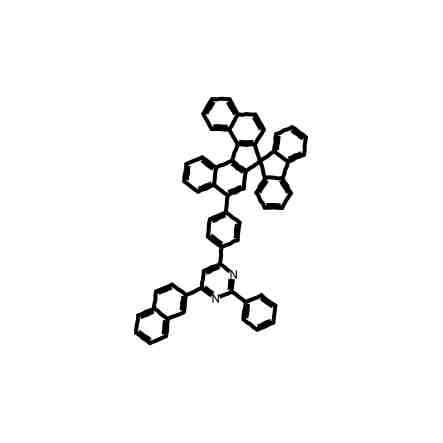 c1ccc(-c2nc(-c3ccc(-c4cc5c(c6ccccc46)-c4c(ccc6ccccc46)C54c5ccccc5-c5ccccc54)cc3)cc(-c3ccc4ccccc4c3)n2)cc1